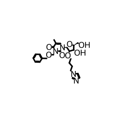 Cc1cn([C@H]2O[C@@H](CO)C(O)C2OCCCCn2ccnc2)c(=O)n(COCc2ccccc2)c1=O